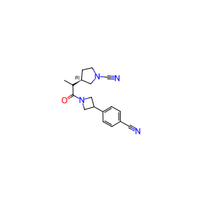 CC(C(=O)N1CC(c2ccc(C#N)cc2)C1)[C@H]1CCN(C#N)C1